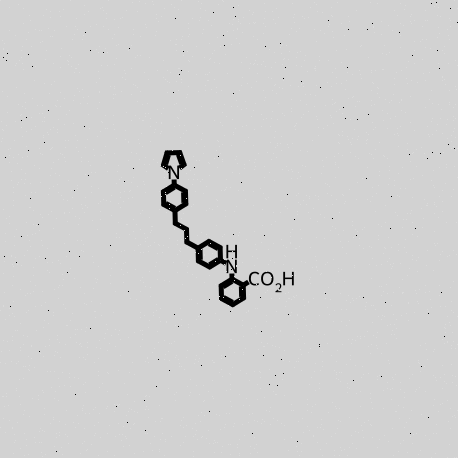 O=C(O)c1ccccc1Nc1ccc(CCCc2ccc(-n3cccc3)cc2)cc1